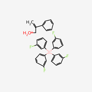 C=C(C[OH2+])c1ccccc1.Fc1cccc([B-](c2cccc(F)c2)(c2cccc(F)c2)c2cccc(F)c2)c1